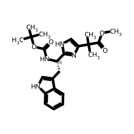 COC(=O)C(C)(C)c1c[nH]c([C@H](Cc2c[nH]c3ccccc23)NC(=O)OC(C)(C)C)n1